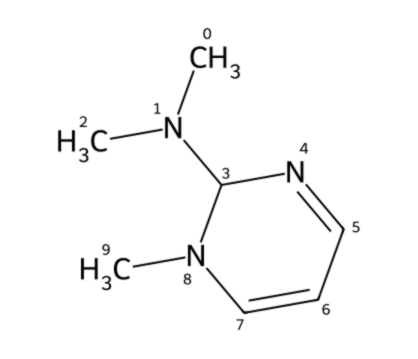 CN(C)C1N=CC=CN1C